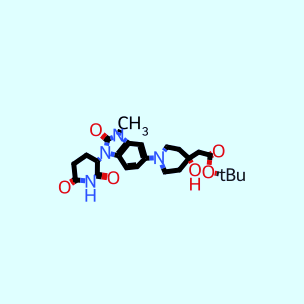 Cn1c(=O)n(C2CCC(=O)NC2=O)c2ccc(N3CCC(O)(CC(=O)OC(C)(C)C)CC3)cc21